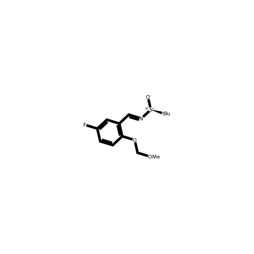 COCOc1ccc(F)cc1C=N[S@@+]([O-])C(C)(C)C